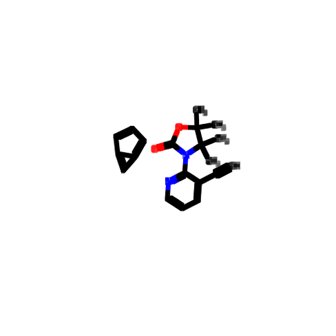 C#Cc1cccnc1N1C(=O)OC(C)(C)C1(C)C.c1cc2cc-2c1